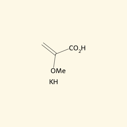 C=C(OC)C(=O)O.[KH]